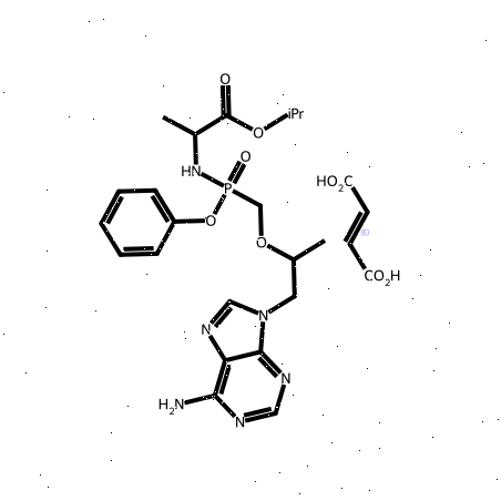 CC(C)OC(=O)C(C)NP(=O)(COC(C)Cn1cnc2c(N)ncnc21)Oc1ccccc1.O=C(O)/C=C/C(=O)O